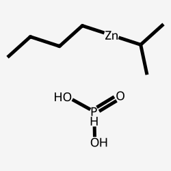 CCC[CH2][Zn][CH](C)C.O=[PH](O)O